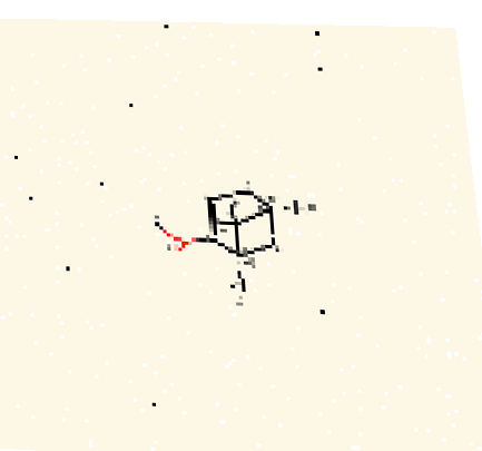 COC1=CC[C@H]2C[C@@H]1C2(C)C